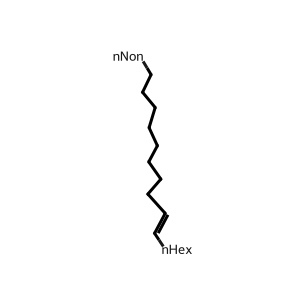 CCCCCC/C=C/CCCCCCCCCCCCCCCCC